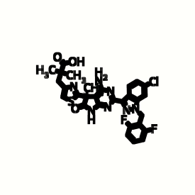 CC(C)(Cc1csc([C@]2(C)C(=O)Nc3nc(-c4nn(Cc5c(F)cccc5F)c5cc(Cl)ccc45)nc(N)c32)n1)C(=O)O